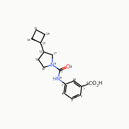 O=C(O)c1cccc(NC(=O)N2CCC(C3CCC3)C2)c1